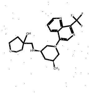 C[C@H]1C[C@@H](NCC2(O)CCOCC2)CN(c2cnc(C(F)(F)F)c3ncccc23)C1